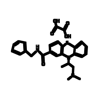 CC(CN(C)C)N1c2ccccc2Sc2ccc(C(=O)NCc3ccccc3)cc21.O=C(O)C(=O)O